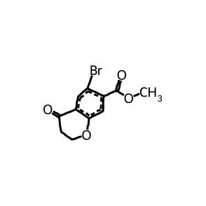 COC(=O)c1cc2c(cc1Br)C(=O)CCO2